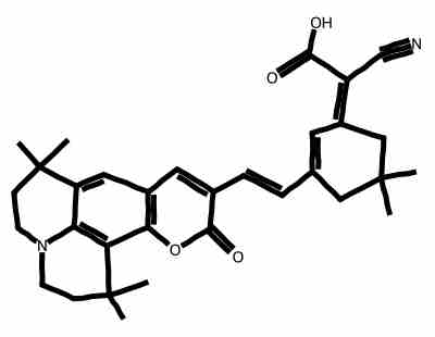 CC1(C)CC(/C=C/c2cc3cc4c5c(c3oc2=O)C(C)(C)CCN5CCC4(C)C)=CC(=C(/C#N)C(=O)O)/C1